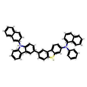 c1ccc(N(c2ccc3c(c2)sc2ccc(-c4ccc5c(c4)c4ccccc4n5-c4ccc5ccccc5c4)cc23)c2cccc3ccccc23)cc1